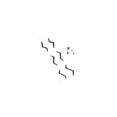 O=P(O)(O)O.OCCOCCOCCO.OCCOCCOCCO